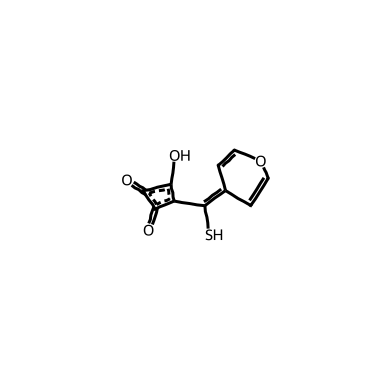 O=c1c(O)c(C(S)=C2C=COC=C2)c1=O